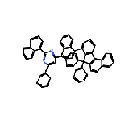 c1ccc(-c2cc(-c3ccc(-c4cccc5c4C(c4ccccc4)(c4ccccc4)c4ccc6ccccc6c4-5)c4ccccc34)nc(-c3cccc4ccccc34)n2)cc1